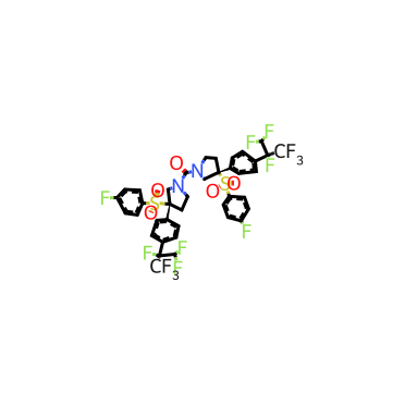 O=C(N1CC[C@](c2ccc(C(F)(C(F)F)C(F)(F)F)cc2)(S(=O)(=O)c2ccc(F)cc2)C1)N1CC[C@](c2ccc(C(F)(C(F)F)C(F)(F)F)cc2)(S(=O)(=O)c2ccc(F)cc2)C1